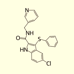 O=C(NCc1cccnc1)c1[nH]c2ccc(Cl)cc2c1Sc1ccccc1